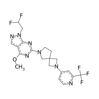 COc1nc(N2CCC3(CN(c4ccnc(C(F)(F)F)c4)C3)C2)nc2c1cnn2CC(F)F